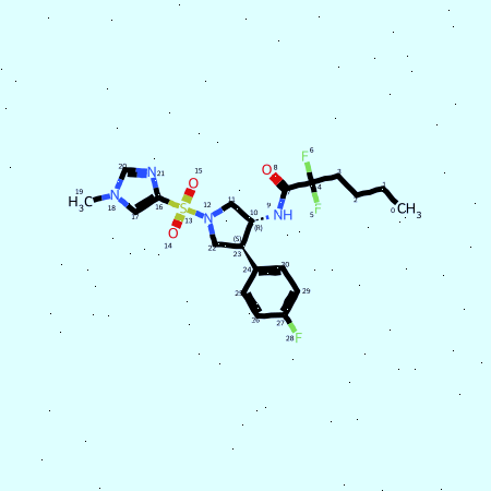 CCCCC(F)(F)C(=O)N[C@H]1CN(S(=O)(=O)c2cn(C)cn2)C[C@@H]1c1ccc(F)cc1